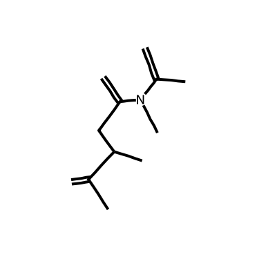 C=C(C)C(C)CC(=C)N(C)C(=C)C